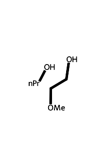 CCCO.COCCO